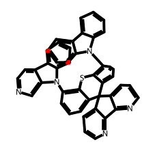 c1cnc2c(c1)C1(c3cccnc3-2)c2cccc(-n3c4ccccc4c4ccccc43)c2Sc2c(-n3c4ccccc4c4ccncc43)cccc21